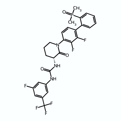 CP(C)(=O)c1ccccc1-c1ccc(N2CCC[C@@H](NC(=O)Nc3cc(F)cc(C(F)(F)F)c3)C2=O)c(F)c1F